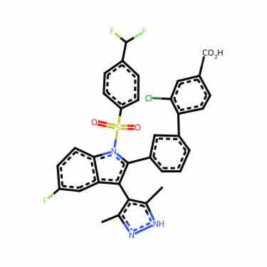 Cc1n[nH]c(C)c1-c1c(-c2cccc(-c3ccc(C(=O)O)cc3Cl)c2)n(S(=O)(=O)c2ccc(C(F)F)cc2)c2ccc(F)cc12